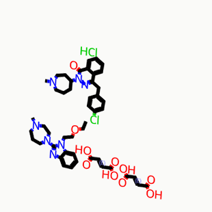 CCOCCn1c(N2CCCN(C)CC2)nc2ccccc21.CN1CCCC(n2nc(Cc3ccc(Cl)cc3)c3ccccc3c2=O)CC1.Cl.O=C(O)/C=C/C(=O)O.O=C(O)/C=C/C(=O)O